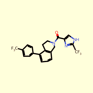 O=C(c1c[nH]c(C(F)(F)F)n1)N1CCc2c(cccc2-c2ccc(C(F)(F)F)cc2)C1